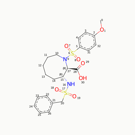 COc1ccc(S(=O)(=O)N2CCCCC[C@@H](NS(=O)(=O)Cc3ccccc3)[C@@H]2C(=O)O)cc1